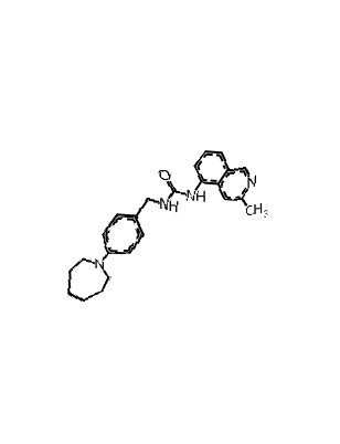 Cc1cc2c(NC(=O)NCc3ccc(N4CCCCCC4)cc3)cccc2cn1